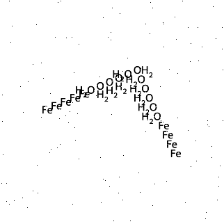 O.O.O.O.O.O.O.O.O.O.O.[Fe].[Fe].[Fe].[Fe].[Fe].[Fe].[Fe].[Fe].[Fe]